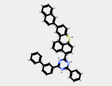 c1ccc(-c2cccc(-c3nc(-c4ccccc4)nc(-c4ccc5c6c(cccc46)-c4cc(-c6ccc7ccccc7c6)ccc4S5)n3)c2)cc1